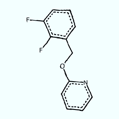 Fc1cccc(COc2ccccn2)c1F